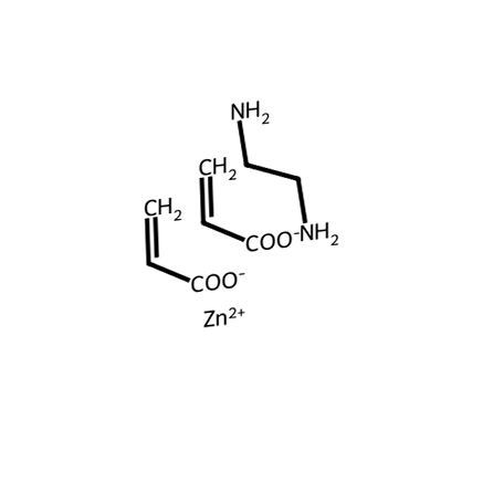 C=CC(=O)[O-].C=CC(=O)[O-].NCCN.[Zn+2]